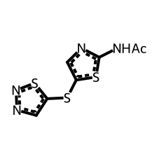 CC(=O)Nc1ncc(Sc2cnns2)s1